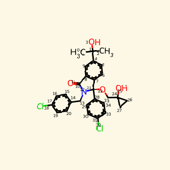 CC(C)(O)c1ccc2c(c1)C(=O)N(Cc1ccc(Cl)cc1)[C@@]2(OCC1(O)CC1)c1ccc(Cl)cc1